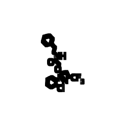 O=C(COc1cc(C(F)(F)F)nn1C1=CC=CCC1Cl)NCCc1ccccc1